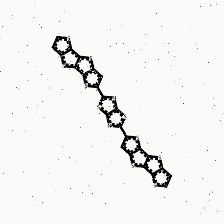 c1cc2sc3c4sc(-c5nc6sc(-c7cc8sc9c%10sccc%10sc9c8s7)nc6s5)cc4sc3c2s1